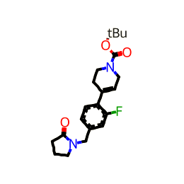 CC(C)(C)OC(=O)N1CC=C(c2ccc(CN3CCCC3=O)cc2F)CC1